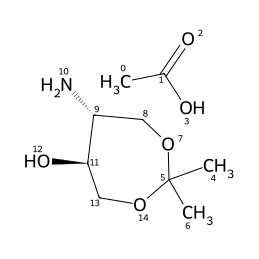 CC(=O)O.CC1(C)OC[C@@H](N)[C@H](O)CO1